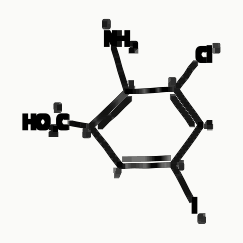 Nc1c(Cl)cc(I)cc1C(=O)O